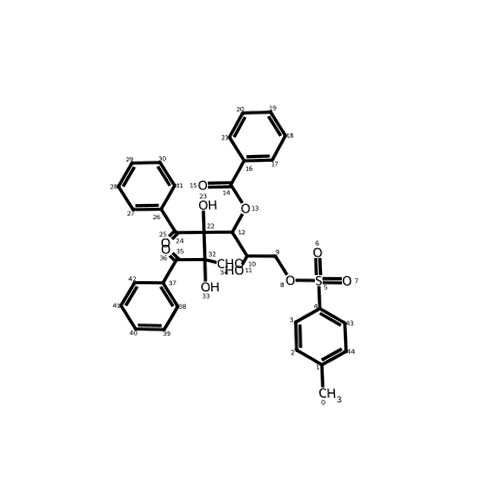 Cc1ccc(S(=O)(=O)OCC(O)C(OC(=O)c2ccccc2)C(O)(C(=O)c2ccccc2)C(O)(C=O)C(=O)c2ccccc2)cc1